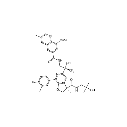 COc1cc(C(=O)NC[C@](O)(c2cc3c(c(-c4ccc(F)c(C)c4)n2)OC[C@]3(C)C(=O)NCC(C)(C)O)C(F)(F)F)cc2cc(C)cnc12